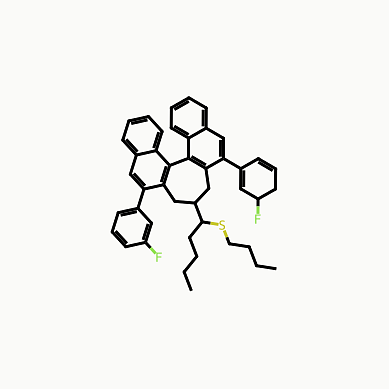 CCCCSC(CCCC)C1Cc2c(C3=CC(F)CC=C3)cc3ccccc3c2-c2c(c(-c3cccc(F)c3)cc3ccccc23)C1